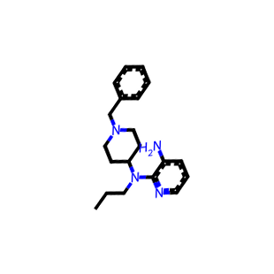 CCCN(c1ncccc1N)C1CCN(Cc2ccccc2)CC1